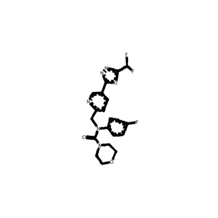 O=C(N1CCOCC1)N(Cc1ccc(-c2nnc(C(F)F)o2)cn1)c1ccc(F)cc1